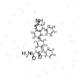 NC(=O)C[S+]([O-])C(c1ccccc1)c1ccccc1.NC(=S)CC(c1ccccc1)c1ccccc1